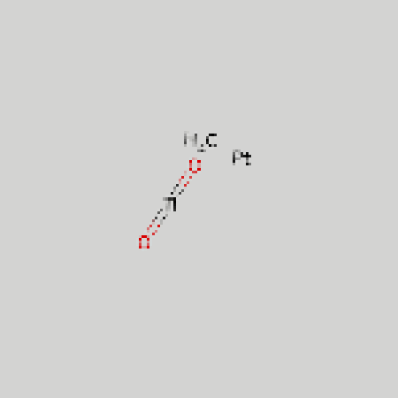 C.[O]=[Ti]=[O].[Pt]